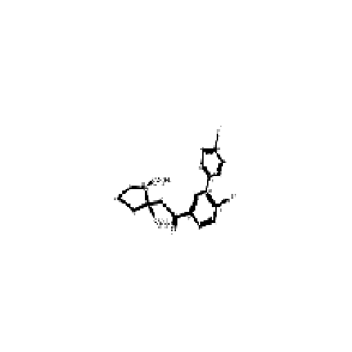 O=C(CC1(C(=O)O)CCCN1C(=O)O)c1ccc(I)c(-c2ccc(F)cc2)c1